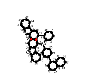 c1ccc(N(c2ccc(-c3cccc4ccccc34)cc2)c2cccc3oc4ccccc4c23)c(-c2ccc3oc4ccccc4c3c2)c1